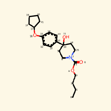 CCCCOC(=O)N1CCC(O)(c2ccc(OC3CCCC3)cc2)CC1